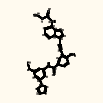 Cc1ccc(C(=O)Nc2cc(CF)cc(-n3ccnc3)c2)cc1C#Cc1cnc2c(NC(=O)OC(C)(C)C)cccn12